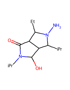 CCC1C2C(=O)N(C(C)C)C(O)C2C(C(C)C)N1N